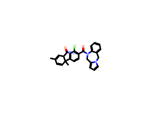 CC1=CC(C(N)=O)C(C)(c2ccc(C(=O)N3Cc4cccn4Cc4ccccc43)c(Cl)c2)C=C1